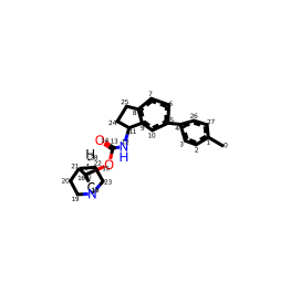 Cc1ccc(-c2ccc3c(c2)C(NC(=O)O[C@H]2CN4CCC2CC4)CC3)cc1